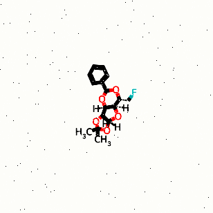 CC1(C)O[C@H]2O[C@H]3[C@H](OC(c4ccccc4)O[C@@H]3CF)[C@H]2O1